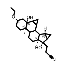 CCO[C@H]1CC[C@]2(C)C3CC[C@@]4(C)C(C3C3CC3[C@]2(O)C1)[C@@H]1CC1[C@@]4(O)CCC#N